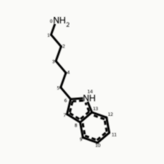 NCCCCCc1cc2ccccc2[nH]1